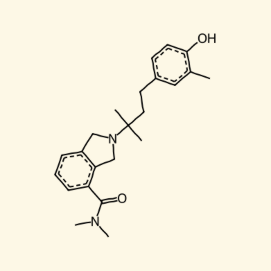 Cc1cc(CCC(C)(C)N2Cc3cccc(C(=O)N(C)C)c3C2)ccc1O